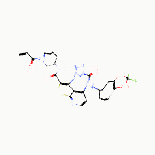 C=CC(=O)N1CCC=C(NC(=O)c2sc3nccc4c3c2NC(=O)N4c2ccc3c(c2)OC(F)(F)O3)C1